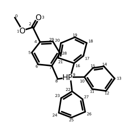 COC(=O)c1ccc(C[PH](c2ccccc2)(c2ccccc2)c2ccccc2)cc1